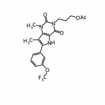 CC(=O)OCCCn1c(=O)c2[nH]c(-c3cccc(OC(F)(F)F)c3)c(C)c2n(C)c1=O